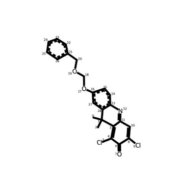 CC1(C)C2=C(Cl)C(=O)C(Cl)=CC2=Nc2ccc(OCOCc3ccccc3)cc21